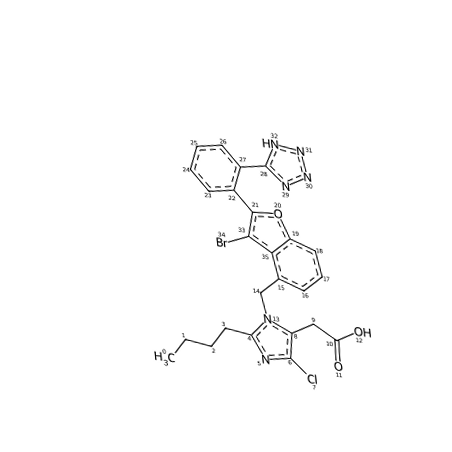 CCCCc1nc(Cl)c(CC(=O)O)n1Cc1cccc2oc(-c3ccccc3-c3nnn[nH]3)c(Br)c12